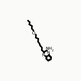 CCCCCCOCCCCCCCCc1nc2ccccc2nc1N